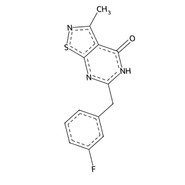 Cc1nsc2nc(Cc3cccc(F)c3)[nH]c(=O)c12